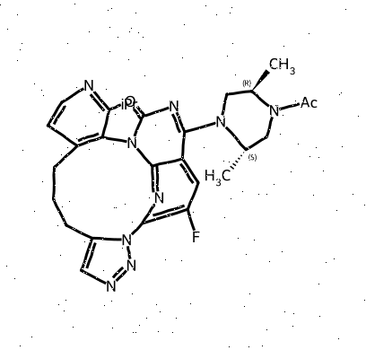 CC(=O)N1C[C@H](C)N(c2nc(=O)n3c4nc(c(F)cc24)-n2nncc2CCCc2ccnc(C(C)C)c2-3)C[C@H]1C